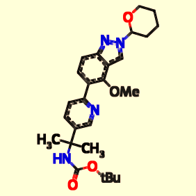 COc1c(-c2ccc(C(C)(C)NC(=O)OC(C)(C)C)cn2)ccc2nn(C3CCCCO3)cc12